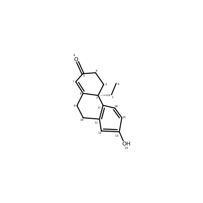 CC[C@@]12CCC(=O)C=C1CCc1cc(O)ccc12